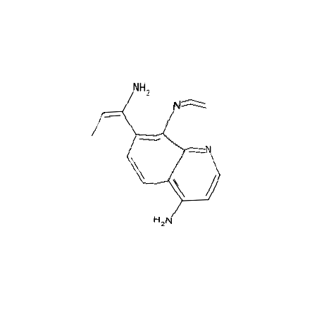 C=Nc1c(/C(N)=C\C)ccc2c(N)ccnc12